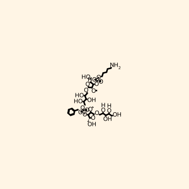 COC1C(OP(=O)(O)OCCCCCN)[C@@H](CO)O[C@H]1OCC(O)C(O)C(O)COP(=O)(OCc1ccccc1)OC1C(OC)[C@H](OCC(O)C(O)C(O)CO)O[C@@H]1CO